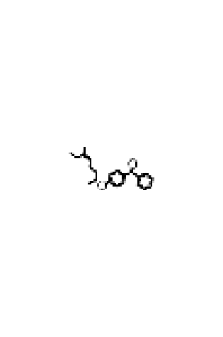 CCC(C)=CCCC(C)Oc1ccc(C(=O)c2ccccc2)cc1